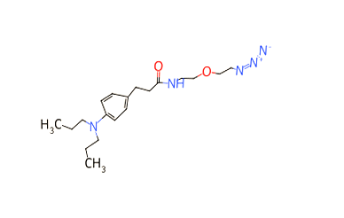 CCCN(CCC)c1ccc(CCC(=O)NCCOCCN=[N+]=[N-])cc1